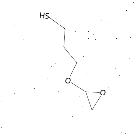 SCCCOC1CO1